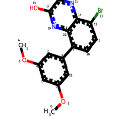 COc1cc(OC)cc(-c2ccc(Br)c3ncc(O)nc23)c1